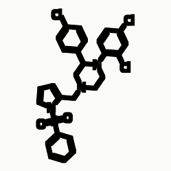 O=S(=O)(c1ccccc1)n1cccc1CN1CCN(c2ccc(Cl)cc2Cl)C(c2ccc(Cl)cc2)C1